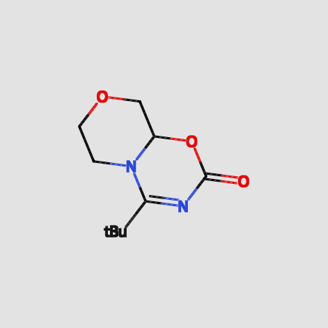 CC(C)(C)C1=NC(=O)OC2COCCN12